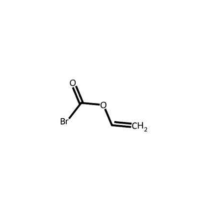 C=COC(=O)Br